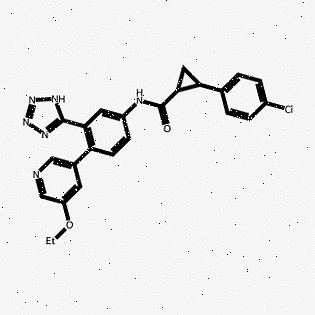 CCOc1cncc(-c2ccc(NC(=O)C3CC3c3ccc(Cl)cc3)cc2-c2nnn[nH]2)c1